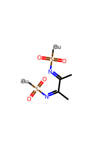 CCC(C)S(=O)(=O)N=C(C)C(C)=NS(=O)(=O)C(C)CC